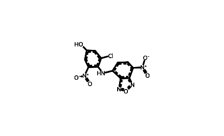 O=[N+]([O-])c1cc(O)cc(Cl)c1Nc1ccc([N+](=O)[O-])c2nonc12